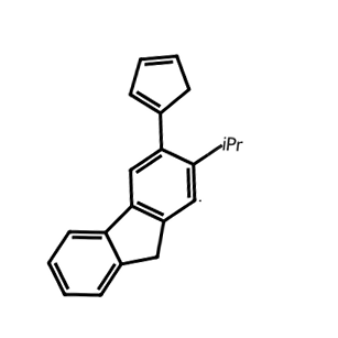 CC(C)c1[c]c2c(cc1C1=CC=CC1)-c1ccccc1C2